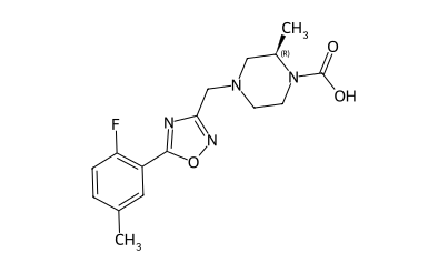 Cc1ccc(F)c(-c2nc(CN3CCN(C(=O)O)[C@H](C)C3)no2)c1